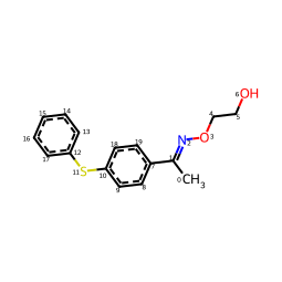 CC(=NOCCO)c1ccc(Sc2ccccc2)cc1